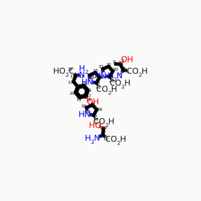 CC(O)C(N)C(=O)O.NC(CO)C(=O)O.NC(Cc1ccc(O)cc1)C(=O)O.O=C(O)[C@@H]1CCCN1.O=C(O)[C@@H]1CCCN1.O=C(O)[C@@H]1CCCN1